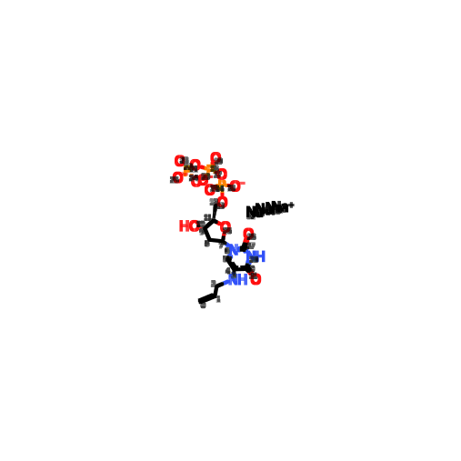 C=CCNc1cn([C@H]2C[C@H](O)[C@@H](COP(=O)([O-])OP(=O)([O-])OP(=O)([O-])[O-])O2)c(=O)[nH]c1=O.[Na+].[Na+].[Na+].[Na+]